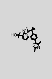 Cc1nc(C)c(-c2ccc(C3(c4nnc5c(C(C)(C)O)cccn45)CC3)cc2)s1